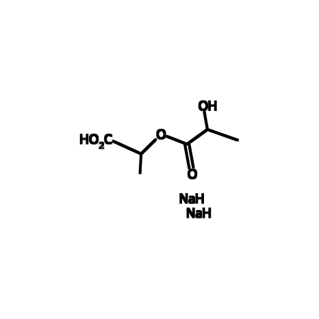 CC(O)C(=O)OC(C)C(=O)O.[NaH].[NaH]